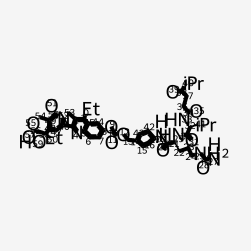 CCc1c2c(nc3ccc(OC(=O)OCc4ccc(NC(=O)[C@H](CCCNC(N)=O)NC(=O)[C@@H](NC(=O)CCC(=O)C(C)C)C(C)C)cc4)cc13)-c1cc3c(c(=O)n1C2)COC(=O)[C@]3(O)CC